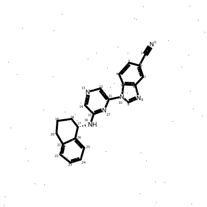 N#Cc1ccc2c(c1)ncn2-c1cncc(N[C@H]2CCCc3ccccc32)n1